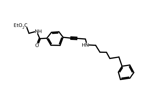 CCOC(=O)CNC(=O)c1ccc(C#CCNCCCCCc2ccccc2)cc1